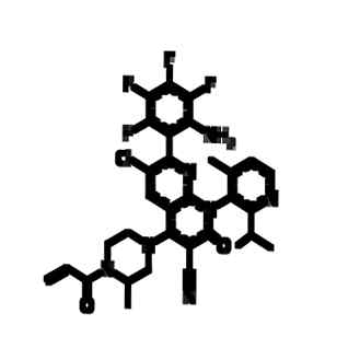 C=CC(=O)N1CCN(c2c(C#N)c(=O)n(-c3c(C)ccnc3C(C)C)c3nc(-c4c(N)c(F)c(F)c(F)c4F)c(Cl)cc23)CC1C